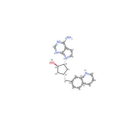 Nc1ncnc2c1ccn2[C@@H]1C[C@H](Cc2ccc3cccnc3c2)C[C@H]1O